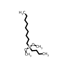 CCCCCCCCC[Si](CCCC)(OC)OC